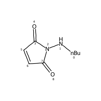 CCCCNN1C(=O)C=CC1=O